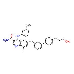 COc1cccc(Nc2c(C(N)=O)cnc3c(C)cc(Cc4cccc(-c5ccc(CCCO)cc5)c4)cc23)c1